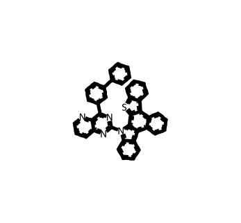 c1ccc(-c2cccc(-c3nc(-n4c5ccccc5c5c6ccccc6c6c7ccccc7sc6c54)nc4cccnc34)c2)cc1